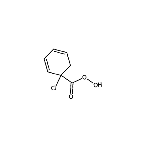 O=C(OO)C1(Cl)C=CC=CC1